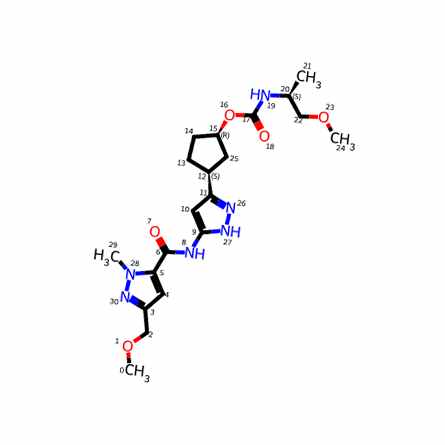 COCc1cc(C(=O)Nc2cc([C@H]3CC[C@@H](OC(=O)N[C@@H](C)COC)C3)n[nH]2)n(C)n1